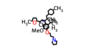 C=C(C)c1cc(OCCCN2CCCC2)c(OC)cc1/C(=C\C(=C)C1CCC(C)O1)C(C)CC1CCC(C)CC1